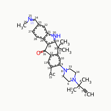 C#CC(C)(C)N1CCN(c2cc3c(cc2C(C)=O)C(=O)c2c([nH]c4cc(/C=N\C)ccc24)C3(C)C)CC1